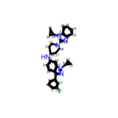 Fc1cccc(-c2nn(C3CC3)c3cc(NC4CCN(c5nc6ccccc6n5C5CC5)CC4)ccc23)c1